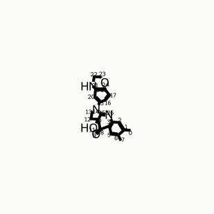 Cc1cc2c(cc1C)C(=O)C1(O)CCN(c3ccc4c(c3)NCCO4)C1=N2